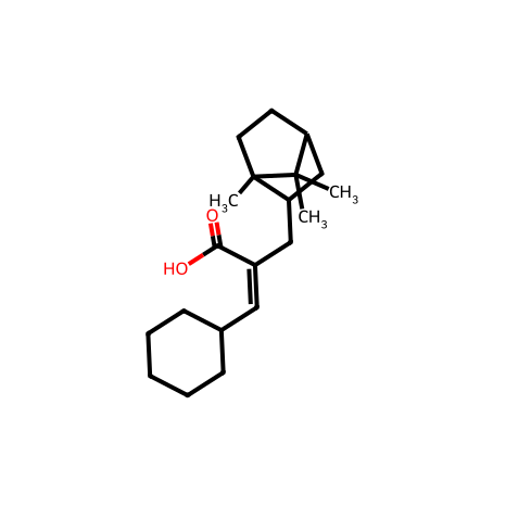 CC1(C)C2CCC1(C)C(CC(=CC1CCCCC1)C(=O)O)C2